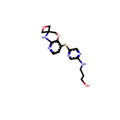 OCCCNc1cnc(Sc2ccnc3c2OCC2(COC2)N3)cn1